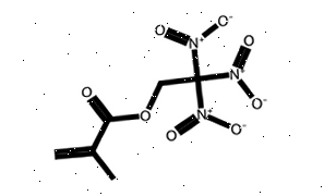 C=C(C)C(=O)OCC([N+](=O)[O-])([N+](=O)[O-])[N+](=O)[O-]